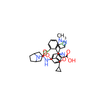 Cn1cc(-c2cc(NC(=O)N3C4CCC3CC(OCc3c(-c5c(Cl)cccc5Cl)noc3C3CC3)C4)ccc2C(=O)O)cn1